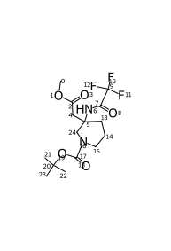 COC(=O)CC1(NC(=O)C(F)(F)F)CCCN(C(=O)OC(C)(C)C)C1